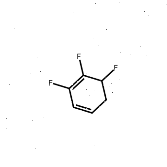 FC1=C(F)C(F)CC=C1